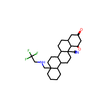 N#CC12CCC3C(CCC4(CNCC(F)(F)F)CCCCC34)C1CCC1CC(=O)CC(=O)C12